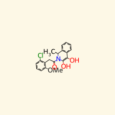 COc1cccc(Cl)c1CC(=O)N1C(O)=C(O)c2ccccc2[C@@H]1C